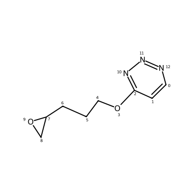 c1cc(OCCCC2CO2)nnn1